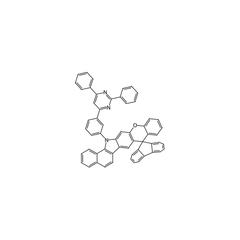 c1ccc(-c2cc(-c3cccc(-n4c5cc6c(cc5c5ccc7ccccc7c54)C4(c5ccccc5O6)c5ccccc5-c5ccccc54)c3)nc(-c3ccccc3)n2)cc1